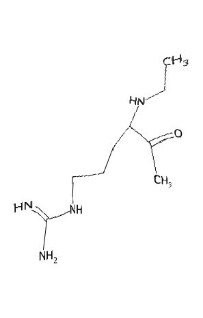 CCNC(CCCNC(=N)N)C(C)=O